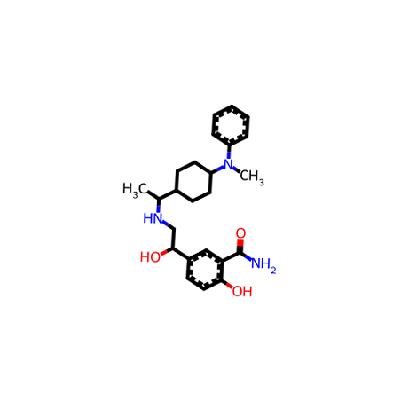 CC(NCC(O)c1ccc(O)c(C(N)=O)c1)C1CCC(N(C)c2ccccc2)CC1